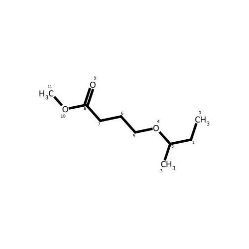 CCC(C)OCCCC(=O)OC